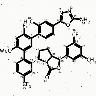 COc1cc(F)c(-c2ccc(-c3nnc(N)o3)cc2C)cc1-c1ccc(C(F)(F)F)cc1[C@@H]1CCC2[C@@H](c3cc(C)cc(C(F)(F)F)c3)OC(=O)N21